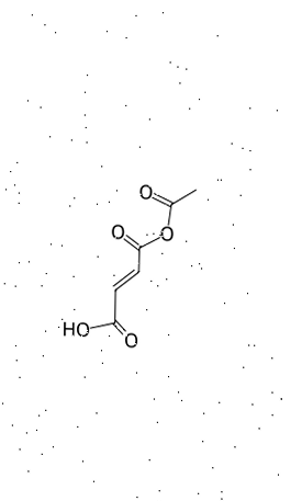 CC(=O)OC(=O)/C=C/C(=O)O